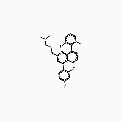 CN(C)CCNc1cc(-c2ccc(F)cc2Cl)c2ccnc(-c3c(F)cccc3F)c2n1